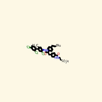 Cc1cc(NC(=O)C(Cc2ccc(C(=O)NCCS(=O)(=O)O)cc2)c2ccc(/C=C/C(C)(C)C)cc2)c(Cl)cc1-c1ccc(Cl)cc1Cl